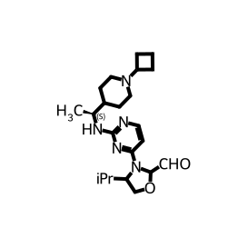 CC(C)C1COC(C=O)N1c1ccnc(N[C@@H](C)C2CCN(C3CCC3)CC2)n1